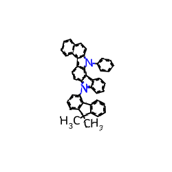 CC1(C)c2ccccc2-c2c(-n3c4ccccc4c4c3ccc3c5c6ccccc6ccc5n(-c5ccccc5)c34)cccc21